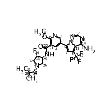 COc1ncc(-c2cc(C(F)(F)F)c3c(N)ncnn23)cc1C(=O)N[C@@H]1CN(SC(C)C)C[C@@H]1F